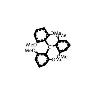 COc1cccc(OC)c1[C+](c1c(OC)cccc1OC)c1c(OC)cccc1OC